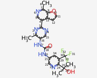 Cc1nc(-c2cnc(C)c3occc23)ncc1NC(=O)Nc1cnc(C(C)(C)O)c(C(F)(F)F)c1